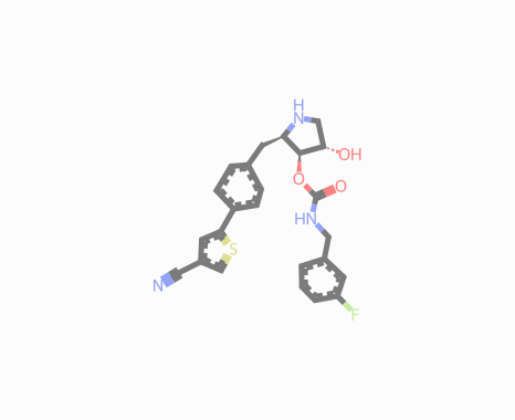 N#Cc1csc(-c2ccc(C[C@H]3NC[C@H](O)[C@H]3OC(=O)NCc3cccc(F)c3)cc2)c1